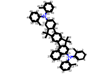 CC1=CCCC=C1N(c1ccccc1C)c1cc2c(c3ccccc13)-c1cc3c(cc1C2(C)C)C1=CC=C(N(c2ccccc2C)c2ccccc2C)CC1C3(C)C